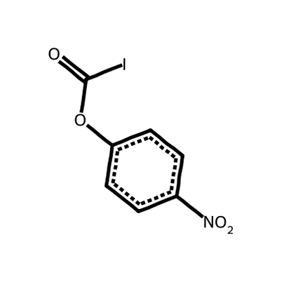 O=C(I)Oc1ccc([N+](=O)[O-])cc1